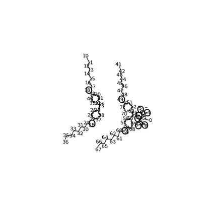 CC(S(=O)(=O)[O-])S(=O)(=O)[O-].CCCCCCCCOc1ccc([I+]c2ccc(OCCCCCCCC)cc2)cc1.CCCCCCCCOc1ccc([I+]c2ccc(OCCCCCCCC)cc2)cc1